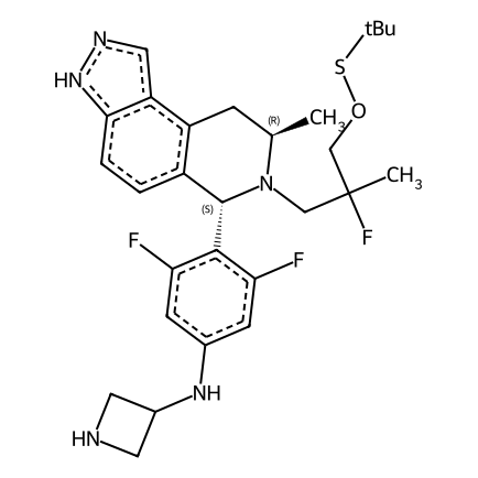 C[C@@H]1Cc2c(ccc3[nH]ncc23)[C@@H](c2c(F)cc(NC3CNC3)cc2F)N1CC(C)(F)COSC(C)(C)C